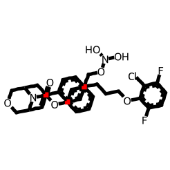 O=C(Oc1cccc(CON(O)O)c1)N1C2C=C(c3ccc(CCCOc4c(F)ccc(F)c4Cl)cc3)CC1COC2